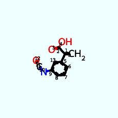 C=C(C(=O)O)c1cccc(N=C=O)c1